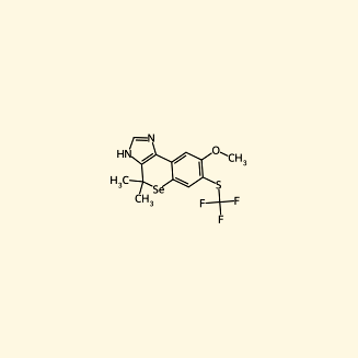 COc1cc2c(cc1SC(F)(F)F)[Se]C(C)(C)c1[nH]cnc1-2